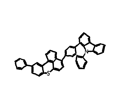 c1ccc(-c2ccc3c(c2)-c2cccc4c(-c5ccc(-c6cccc7c8ccccc8n(-c8ccccc8)c67)cc5)ccc(c24)S3)cc1